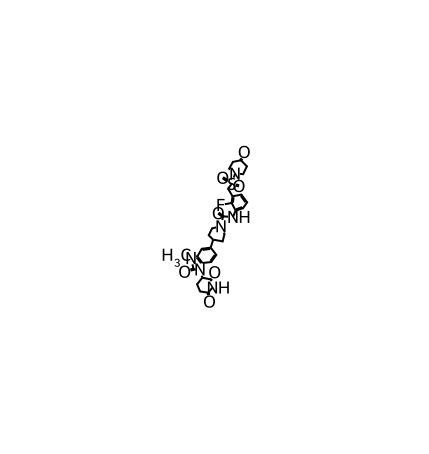 Cn1c(=O)n(C2CCC(=O)NC2=O)c2ccc(C3CCN(C(=O)Nc4cccc(CS(=O)(=O)N5CCC(=O)CC5)c4F)CC3)cc21